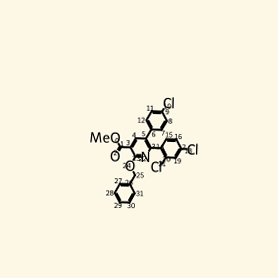 COC(=O)c1cc(-c2ccc(Cl)cc2)c(-c2ccc(Cl)cc2Cl)nc1OCc1ccccc1